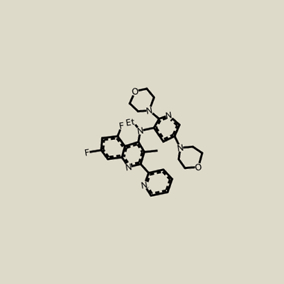 CCN(c1cc(N2CCOCC2)cnc1N1CCOCC1)c1c(C)c(-c2ccccn2)nc2cc(F)cc(F)c12